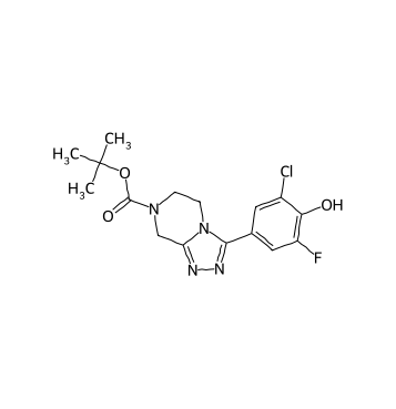 CC(C)(C)OC(=O)N1CCn2c(nnc2-c2cc(F)c(O)c(Cl)c2)C1